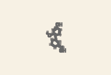 COc1cc(O)ccc1C1CCCC(=NO)C1